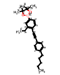 CCCCCc1ccc(C#Cc2ccc(B3OC(C)(C)C(C)(C)O3)cc2CC)cc1